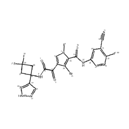 Cn1cc(C(=O)C(=O)NC2(c3cn[nH]n3)CC(F)(F)C2)c(Br)c1C(=O)Nc1ccc(F)c(C#N)c1